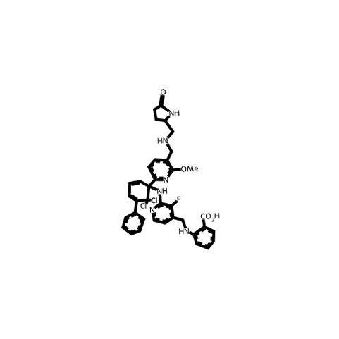 COc1nc(C2(Nc3nccc(CNc4ccccc4C(=O)O)c3F)C=CC=C(c3ccccc3)C2(Cl)Cl)ccc1CNCC1CCC(=O)N1